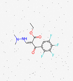 CCOC(=O)/C(=C\NN(C)C)C(=O)c1cc(F)c(F)c(F)c1F